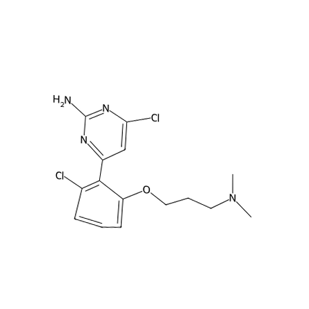 CN(C)CCCOc1cccc(Cl)c1-c1cc(Cl)nc(N)n1